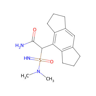 CN(C)S(=N)(=O)C(C(N)=O)c1c2c(cc3c1CCC3)CCC2